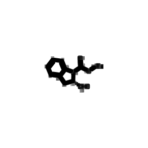 CC(C)(C)OC(=O)N1c2ccccc2C[C@H]1C=O